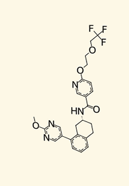 COc1ncc(-c2cccc3c2C[C@H](NC(=O)c2ccc(OCCOCC(F)(F)F)nc2)CC3)cn1